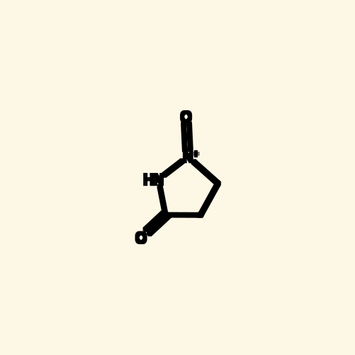 O=C1CC[N+](=O)N1